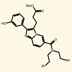 COC(=O)CCc1c(-c2cccc(O)c2)nc2ccc(C(=O)N(CCC(C)C)CCC(C)C)cn12